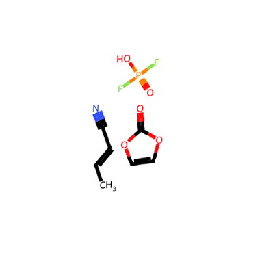 CC=CC#N.O=P(O)(F)F.O=c1occo1